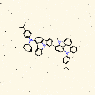 CC(C)c1ccc(N(C2=CCCC=C2)c2ccc(-c3ccc4c5ccc(N(C6=CCCC=C6)c6ccc(C(C)C)cc6)c6c7ccccc7n(c4c3)c56)c3c2c2ccccc2n3C)cc1